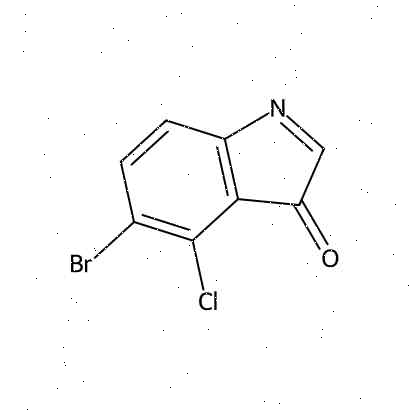 O=C1C=Nc2ccc(Br)c(Cl)c21